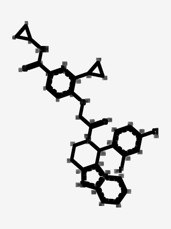 O=C(NC1CC1)c1ccc(OCC(=O)N2CCc3nc4ccccn4c3C2c2ccc(Cl)cc2F)c(C2CC2)n1